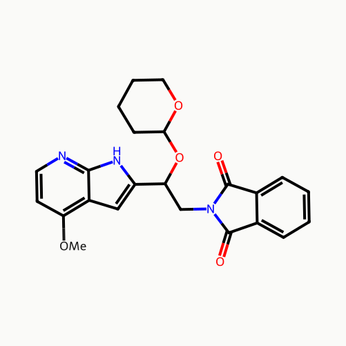 COc1ccnc2[nH]c(C(CN3C(=O)c4ccccc4C3=O)OC3CCCCO3)cc12